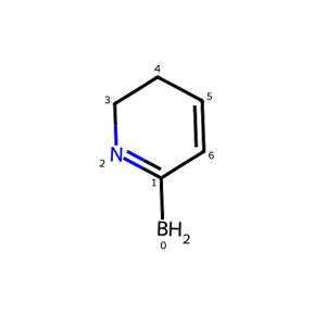 BC1=NCCC=C1